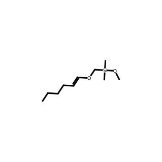 CCCCC=COC[Si](C)(C)OC